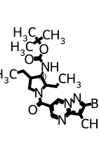 CCC1CN(C(=O)c2cnc3c(C)c(Br)nn3c2)C(CC)[C@@H]1NC(=O)OC(C)(C)C